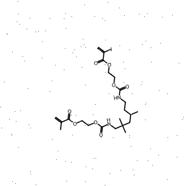 C=C(C)C(=O)OCCOC(=O)NCC(C)(C)CC(C)CCNC(=O)OCCOC(=O)C(=C)I